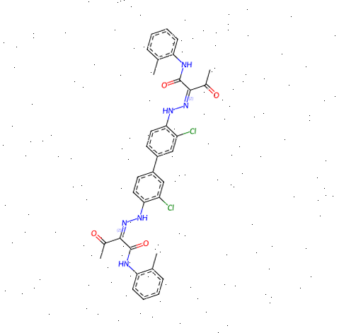 CC(=O)/C(=N/Nc1ccc(-c2ccc(N/N=C(/C(C)=O)C(=O)Nc3ccccc3C)c(Cl)c2)cc1Cl)C(=O)Nc1ccccc1C